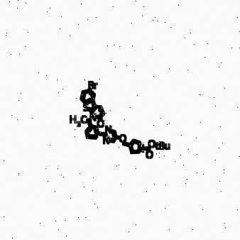 CC(c1cccc(-c2ncc(OCC3CCN(C(=O)OC(C)(C)C)CC3)cn2)c1)n1c(=O)ccc2c3cc(Br)ccc3sc21